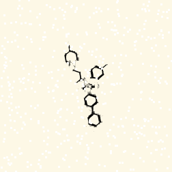 Cc1ccc(N(C(C)CCN2CCC(C)CC2)S(=O)(=O)c2ccc(-c3ccccc3)cc2)cc1